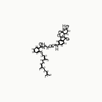 CC(C)=CCCC(C)=CCCC(C)=CCSc1ccccc1C(=O)NCCOCCNc1ccc2c(c1)C(=O)N(C1CCC(=O)NC1=O)C2=O